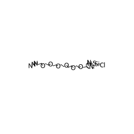 [N-]=[N+]=NCCOCCOCCOCCOCCOCCOCc1cnc(SC[SiH2]Cl)nc1